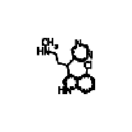 CNCCC(c1cncnc1)c1c[nH]c2cccc(Cl)c12